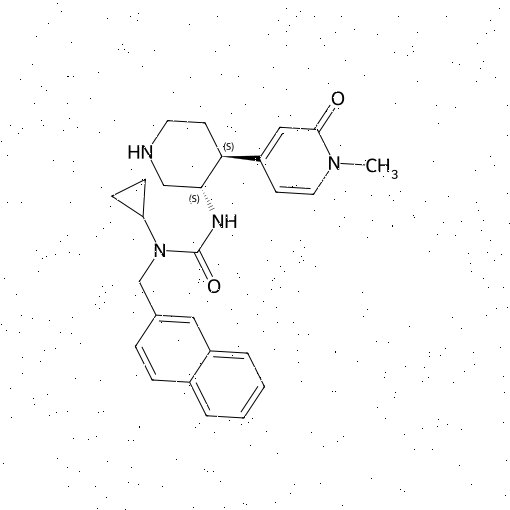 Cn1ccc([C@@H]2CCNC[C@H]2NC(=O)N(Cc2ccc3ccccc3c2)C2CC2)cc1=O